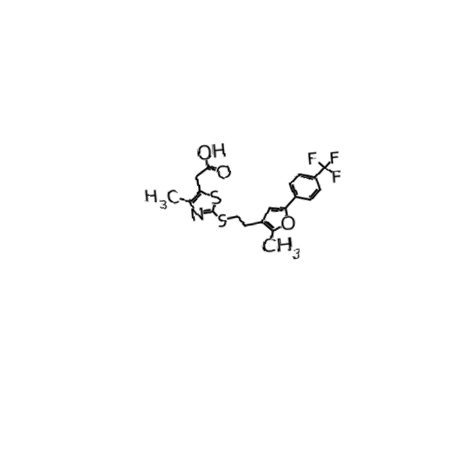 Cc1nc(SCCc2cc(-c3ccc(C(F)(F)F)cc3)oc2C)sc1CC(=O)O